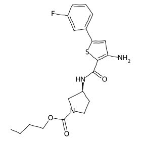 CCCCOC(=O)N1CC[C@H](NC(=O)c2sc(-c3cccc(F)c3)cc2N)C1